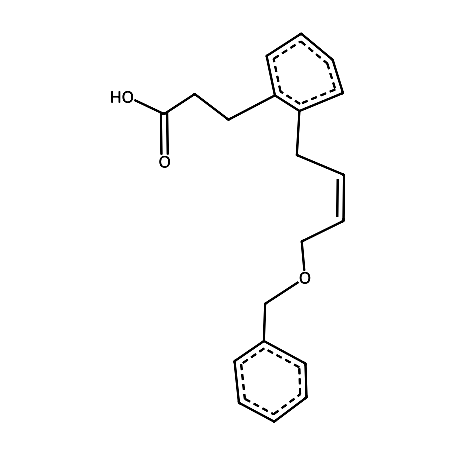 O=C(O)CCc1ccccc1C/C=C\COCc1ccccc1